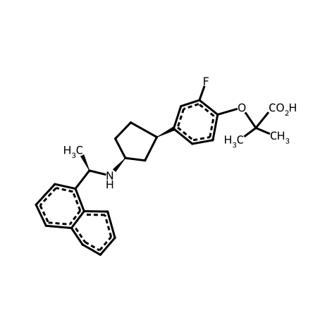 C[C@@H](N[C@H]1CC[C@@H](c2ccc(OC(C)(C)C(=O)O)c(F)c2)C1)c1cccc2ccccc12